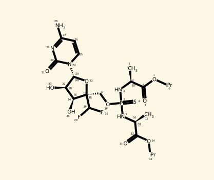 CC(C)OC(=O)[C@H](C)NP(=S)(N[C@@H](C)C(=O)OC(C)C)OC[C@@]1(C(F)F)O[C@@H](n2ccc(N)nc2=O)[C@H](O)[C@@H]1O